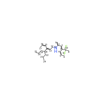 C=C(/C=C(\C=C/C)C(C)(F)F)NC/C=C(\C=C/C)C(CCC)CCC